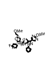 COCCN1C[C@@H](NC(=O)Nc2c(C)c(-c3cnc(OC)nc3)nn2-c2ccccc2)[C@H](c2ccnc(F)c2)O1